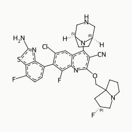 N#Cc1c(OCC23CCCN2C[C@H](F)C3)nc2c(F)c(-c3ccc(F)c4sc(N)nc34)c(Cl)cc2c1N1[C@@H]2CC[C@H]1CNC2